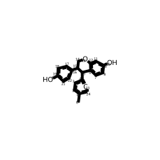 Cc1ccc(C2c3ccc(O)cc3OCC2c2ccc(O)cc2)cc1